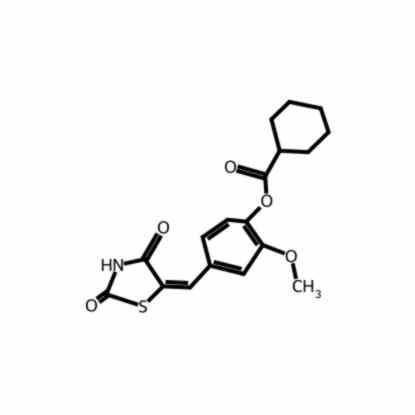 COc1cc(C=C2SC(=O)NC2=O)ccc1OC(=O)C1CCCCC1